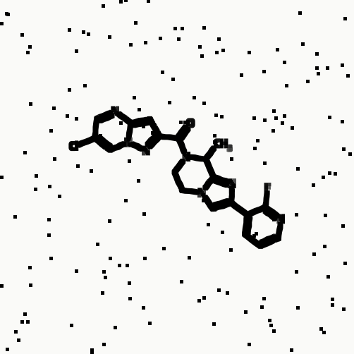 CC1c2nc(-c3cccnc3F)cn2CCN1C(=O)c1cc2ncc(Cl)cn2n1